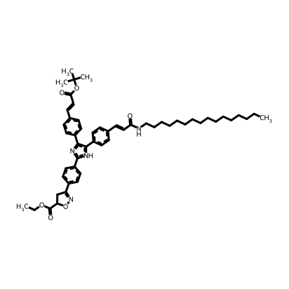 CCCCCCCCCCCCCCCCNC(=O)C=Cc1ccc(-c2[nH]c(-c3ccc(C4=NOC(C(=O)OCC)C4)cc3)nc2-c2ccc(C=CC(=O)OC(C)(C)C)cc2)cc1